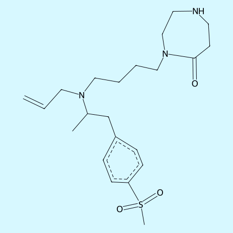 C=CCN(CCCCN1CCNCCC1=O)C(C)Cc1ccc(S(C)(=O)=O)cc1